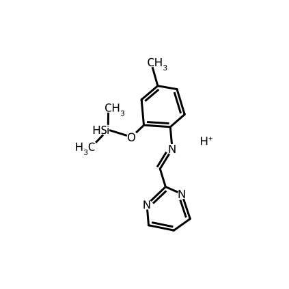 Cc1ccc(N=Cc2ncccn2)c(O[SiH](C)C)c1.[H+]